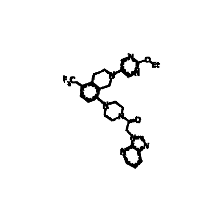 CCOc1ncc(N2CCc3c(C(F)(F)F)ccc(N4CCN(C(=O)Cn5cnc6cccnc65)CC4)c3C2)cn1